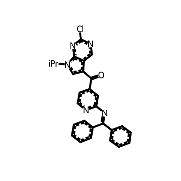 CC(C)n1cc(C(=O)c2ccnc(N=C(c3ccccc3)c3ccccc3)c2)c2cnc(Cl)nc21